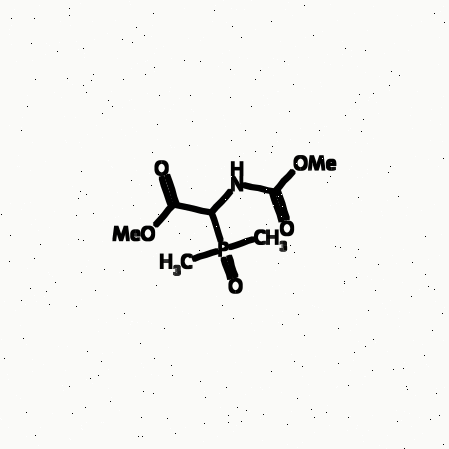 COC(=O)NC(C(=O)OC)P(C)(C)=O